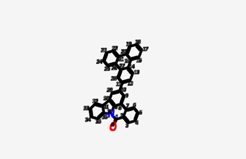 O=c1c2ccccc2c2cc(-c3ccc4c5ccccc5c5ccccc5c4c3)cc3c4ccccc4n1c23